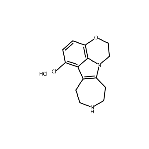 Cl.Clc1ccc2c3c1c1c(n3CCO2)CCNCC1